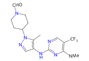 CNc1nc(Nc2cnn(C3CCN(C=O)CC3)c2C)ncc1C(F)(F)F